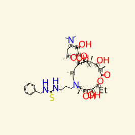 CC[C@H]1OC(=O)[C@H](C)[C@@H](O)[C@H](C)[C@@H](O[C@@H]2O[C@H](C)C[C@H](N(C)C)[C@H]2O)[C@](C)(O)C[C@@H](C)CN(CCCNC(=S)NCc2ccccc2)[C@H](C)[C@@H](O)[C@]1(C)O